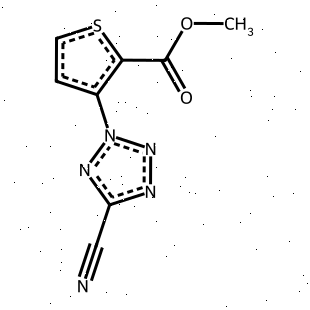 COC(=O)c1sccc1-n1nnc(C#N)n1